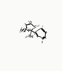 BrC1(c2ccccc2)NCCS1